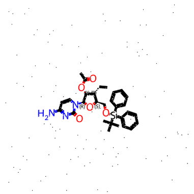 CC[C@H]1[C@@H](OC(C)=O)[C@H](n2ccc(N)nc2=O)O[C@@H]1CO[Si](c1ccccc1)(c1ccccc1)C(C)(C)C